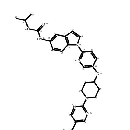 CCc1cnc(N2CCC(Oc3ccc(-n4ccc5cc(NC(=O)OC(C)C)ccc54)nc3)CC2)nc1